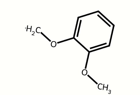 [CH2]Oc1ccccc1OC